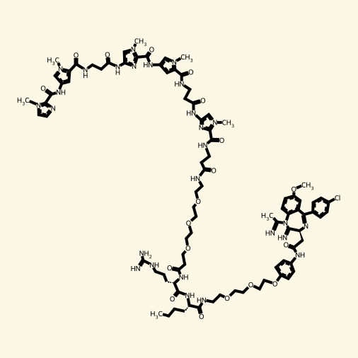 CCCC[C@H](NC(=O)[C@H](CCCNC(=N)N)NC(=O)CCOCCOCCOCCNC(=O)CCNC(=O)c1nc(NC(=O)CCNC(=O)c2cc(NC(=O)c3nc(NC(=O)CCNC(=O)c4cc(NC(=O)c5nccn5C)cn4C)cn3C)cn2C)cn1C)C(=O)NCCOCCOCCOc1ccc(NC(=O)C[C@@H]2N=C(c3ccc(Cl)cc3)c3cc(OC)ccc3N(C(C)=N)C2=N)cc1